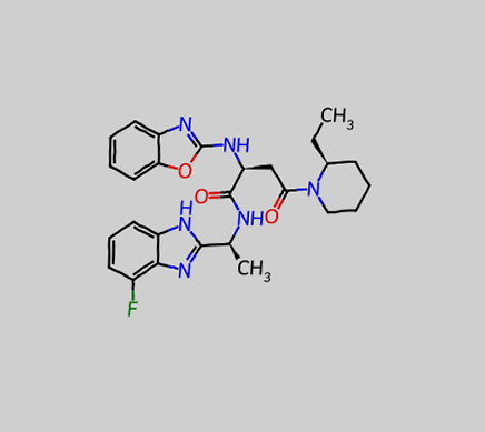 CC[C@H]1CCCCN1C(=O)C[C@H](Nc1nc2ccccc2o1)C(=O)N[C@@H](C)c1nc2c(F)cccc2[nH]1